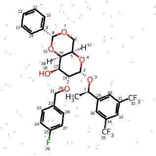 C[C@@H](O[C@H]1O[C@@H]2CO[C@@H](c3ccccc3)O[C@@H]2[C@H](O)[C@H]1OCc1ccc(F)cc1)c1cc(C(F)(F)F)cc(C(F)(F)F)c1